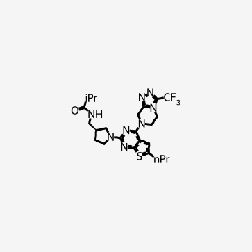 CCCc1cc2c(N3CCn4c(nnc4C(F)(F)F)C3)nc(N3CC[C@@H](CNC(=O)C(C)C)C3)nc2s1